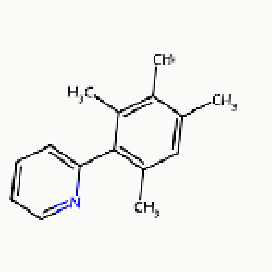 [CH]c1c(C)cc(C)c(-c2ccccn2)c1C